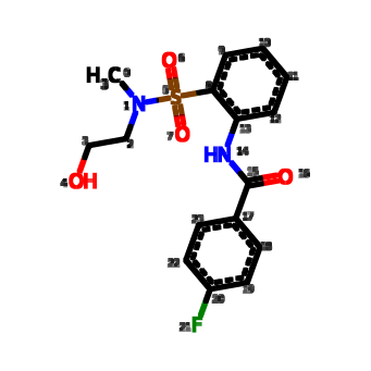 CN(CCO)S(=O)(=O)c1ccccc1NC(=O)c1ccc(F)cc1